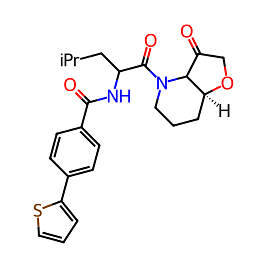 CC(C)CC(NC(=O)c1ccc(-c2cccs2)cc1)C(=O)N1CCC[C@@H]2OCC(=O)C21